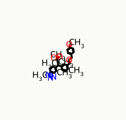 COC(=O)C(C)(C)C(c1ccc(C)c(COCc2ccc(OC)cc2)c1)c1ccc2c(nnn2C)c1C